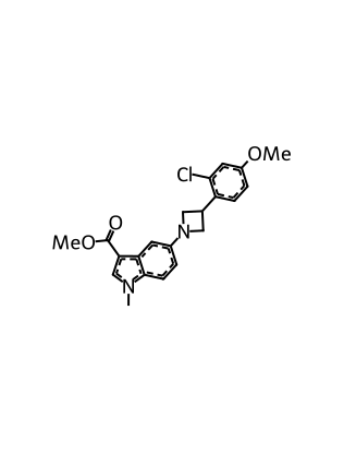 COC(=O)c1cn(C)c2ccc(N3CC(c4ccc(OC)cc4Cl)C3)cc12